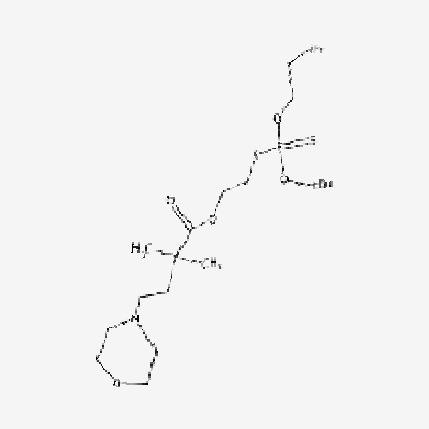 CC(C)CCOP(=S)(OC(C)(C)C)SCCOC(=O)C(C)(C)CCN1CCOCC1